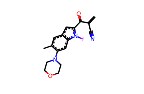 C=C(C#N)C(=O)c1cc2cc(C)c(N3CCOCC3)cc2n1I